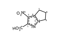 O=C(O)c1nn2c(c1[N+](=O)[O-])CCC2